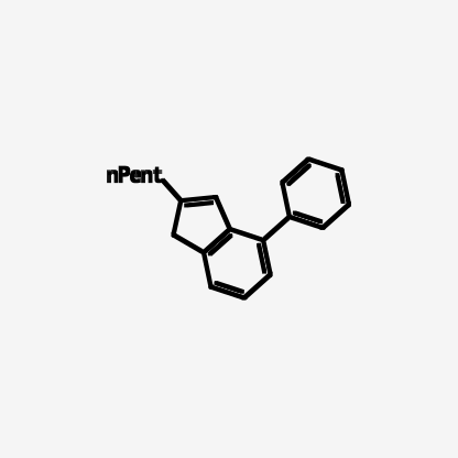 CCCCCC1=Cc2c(cccc2-c2ccccc2)C1